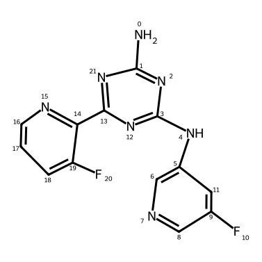 Nc1nc(Nc2cncc(F)c2)nc(-c2ncccc2F)n1